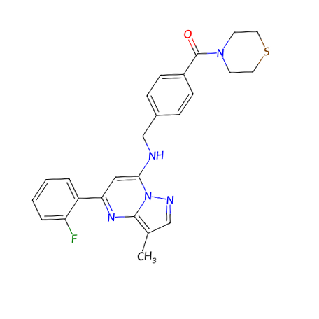 Cc1cnn2c(NCc3ccc(C(=O)N4CCSCC4)cc3)cc(-c3ccccc3F)nc12